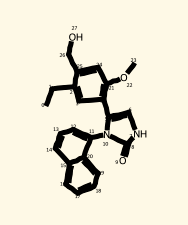 CCc1cc(-c2c[nH]c(=O)n2-c2cccc3ccccc23)c(OC)cc1CO